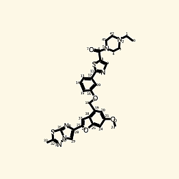 CCN1CCN(C(=O)c2cnc(-c3cccc(OCc4cc(OC)cc5oc(-c6cn7nc(C)sc7n6)cc45)c3)s2)CC1